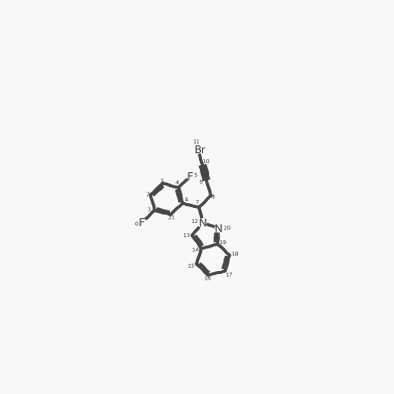 Fc1ccc(F)c(C(CC#CBr)n2cc3ccccc3n2)c1